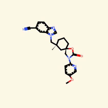 COc1ccc(N2C[C@@]3(CCC[C@](C)(Cn4cnc5ccc(C#N)cc54)C3)OC2=O)nc1